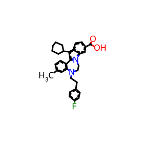 Cc1ccc2c(c1)N(CCc1ccc(F)cc1)CCn1c-2c(C2CCCCC2)c2ccc(C(=O)O)cc21